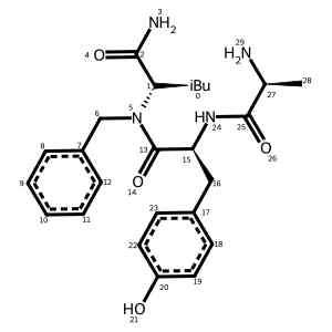 CC[C@H](C)[C@@H](C(N)=O)N(Cc1ccccc1)C(=O)[C@H](Cc1ccc(O)cc1)NC(=O)[C@H](C)N